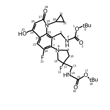 CC(C)(C)OC(=O)NCc1c(N2CCC(F)(CNC(=O)OC(C)(C)C)C2)c(F)cc2c(O)cc(=O)n(C3CC3)c12